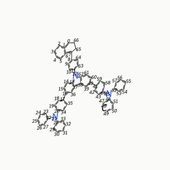 C1=c2ccccc2=C(c2ccc(-n3c4ccc(-c5ccc(N(c6ccccc6)c6ccccc6)cc5)cc4c4cc(-c5ccc(N(c6ccccc6)c6ccccc6)cc5)ccc43)cc2)CC1